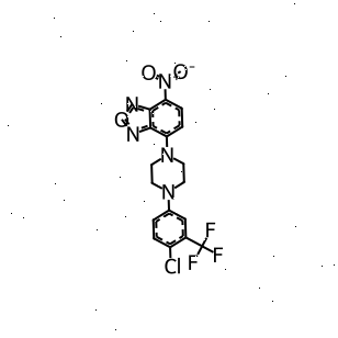 O=[N+]([O-])c1ccc(N2CCN(c3ccc(Cl)c(C(F)(F)F)c3)CC2)c2nonc12